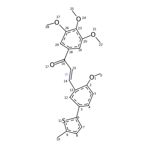 COc1ccc(-c2ccc(C)s2)cc1/C=C/C(=O)c1cc(OC)c(OC)c(OC)c1